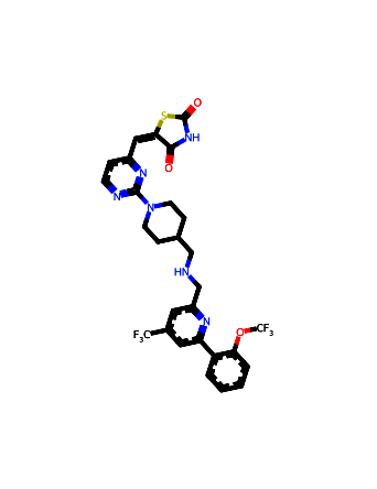 O=C1NC(=O)/C(=C\c2ccnc(N3CCC(CNCc4cc(C(F)(F)F)cc(-c5ccccc5OC(F)(F)F)n4)CC3)n2)S1